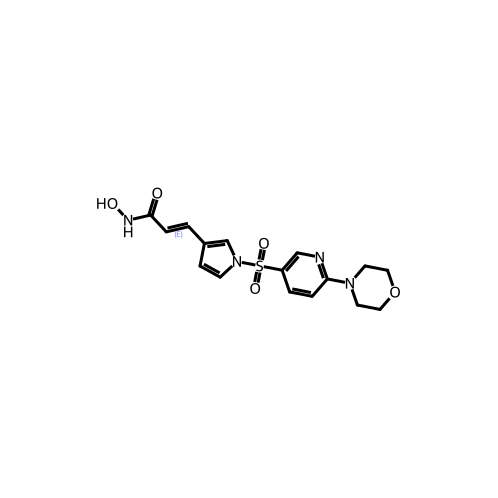 O=C(/C=C/c1ccn(S(=O)(=O)c2ccc(N3CCOCC3)nc2)c1)NO